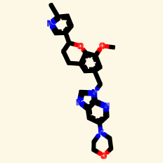 COc1cc(Cn2cnc3cc(N4CCOCC4)cnc32)cc2c1OC(c1ccc(C)nc1)CC2